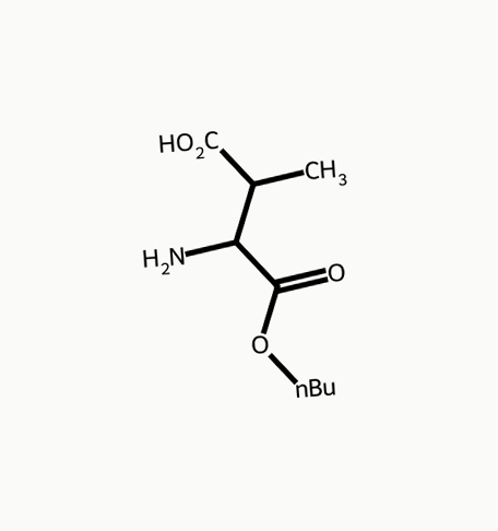 CCCCOC(=O)C(N)C(C)C(=O)O